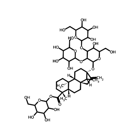 C=C1C[C@@]23CC[C@H]4[C@@](C)(CCC[C@@]4(C)C(=O)OC4OC(CO)C(O)C(O)C4O)[C@@H]2CC[C@]1(OC1OC(CO)C(O)C(OC2OC(CO)C(O)C(O)C2O)C1OC1OC(CO)C(O)C(O)C1O)[C@@H]3C